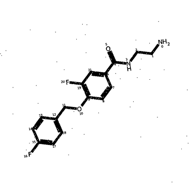 NCCNC(=O)c1ccc(OCc2ccc(F)cc2)c(F)c1